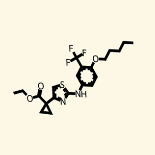 CCCCCOc1ccc(Nc2nc(C3(C(=O)OCC)CC3)cs2)cc1C(F)(F)F